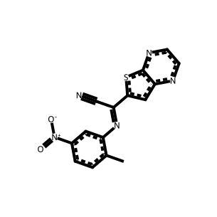 Cc1ccc([N+](=O)[O-])cc1N=C(C#N)c1cc2nccnc2s1